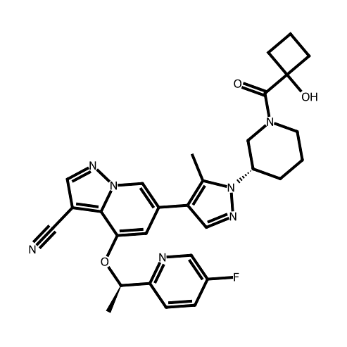 Cc1c(-c2cc(O[C@H](C)c3ccc(F)cn3)c3c(C#N)cnn3c2)cnn1[C@H]1CCCN(C(=O)C2(O)CCC2)C1